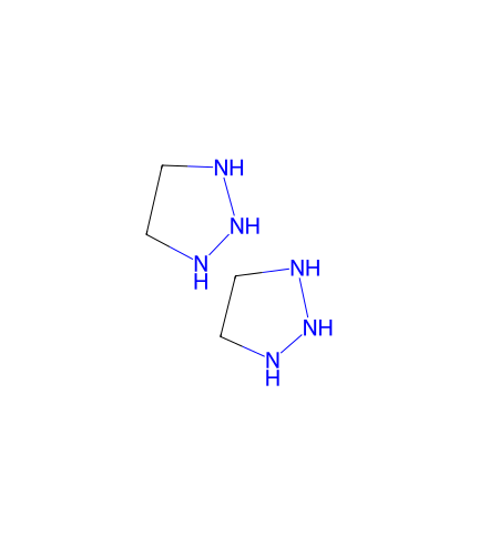 C1CNNN1.C1CNNN1